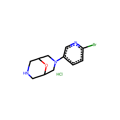 Brc1ccc(N2CC3CNCC(C2)O3)cn1.Cl